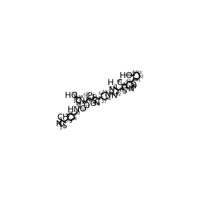 Cc1ncsc1-c1ccc(CNC(=O)[C@@H]2C[C@@H](O)CN2C(=O)[C@@H](c2cc(C3CCN(c4ncc(-c5sc6nnc(-c7ccccc7O)cc6c5C)cn4)CC3)no2)C(C)C)cc1